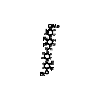 CCOc1ccc(-c2ccc(CCc3ccc(-c4ccc(OC)nc4)c(F)c3F)cc2)c(F)c1F